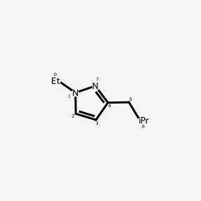 CCn1ccc(CC(C)C)n1